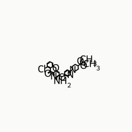 COC(OC)C1CCN(c2ccc(Oc3cc4oc5cccc(Cl)c5c(=O)c4nc3N)cn2)CC1